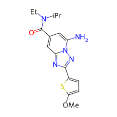 CCN(C(=O)c1cc(N)n2nc(-c3ccc(OC)s3)nc2c1)C(C)C